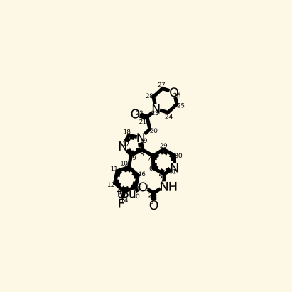 CC(C)(C)OC(=O)Nc1cc(-c2c(-c3ccc(F)cc3)ncn2CC(=O)N2CCOCC2)ccn1